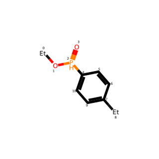 CCO[PH](=O)c1ccc(CC)cc1